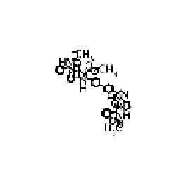 CCOC(=O)c1nc([C@@H]2CCCN2C(=O)[C@H](NC(=O)OC)c2ccccc2)[nH]c1-c1ccc(-c2ccc(-c3cnc(C4CCCN4C(=O)[C@H](NC(=O)OC)c4ccccc4)[nH]3)cc2)cc1